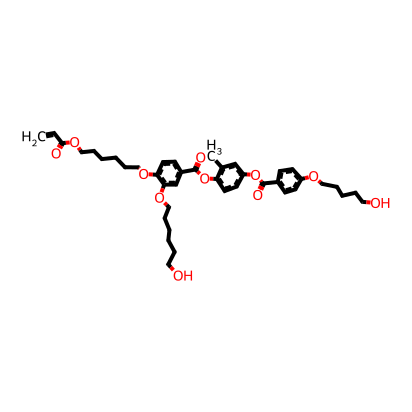 C=CC(=O)OCCCCCCOc1ccc(C(=O)Oc2ccc(OC(=O)c3ccc(OCCCCCO)cc3)cc2C)cc1OCCCCCCO